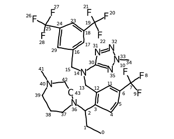 CCC(c1ccc(C(F)(F)F)cc1CN(Cc1cc(C(F)(F)F)cc(C(F)(F)F)c1)c1nnn(C)n1)N1CCCN(C)CC1